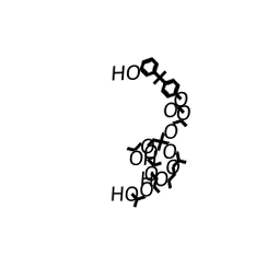 CC(O)COCC(COCC(C)OCC(C)O)(COCC(C)OCC(C)OCC(C)O)COCC(C)OC(=O)Oc1ccc(C(C)(C)c2cccc(O)c2)cc1